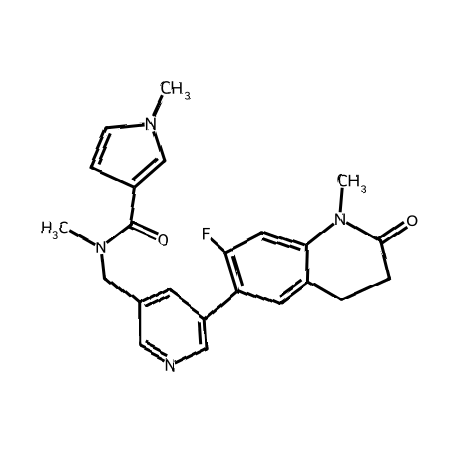 CN(Cc1cncc(-c2cc3c(cc2F)N(C)C(=O)CC3)c1)C(=O)c1ccn(C)c1